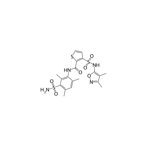 Cc1cc(C)c(S(N)(=O)=O)c(C)c1NC(=O)c1sccc1S(=O)(=O)Nc1onc(C)c1C